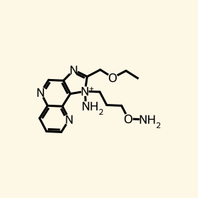 CCOCC1=Nc2cnc3cccnc3c2[N+]1(N)CCCON